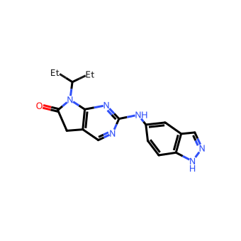 CCC(CC)N1C(=O)Cc2cnc(Nc3ccc4[nH]ncc4c3)nc21